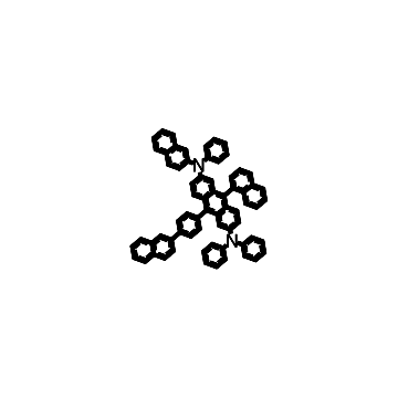 c1ccc(N(c2ccccc2)c2ccc3c(-c4cccc5ccccc45)c4cc(N(c5ccccc5)c5ccc6ccccc6c5)ccc4c(-c4ccc(-c5ccc6ccccc6c5)cc4)c3c2)cc1